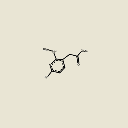 COC(=O)Cc1ccc(Br)nc1NC(C)(C)C